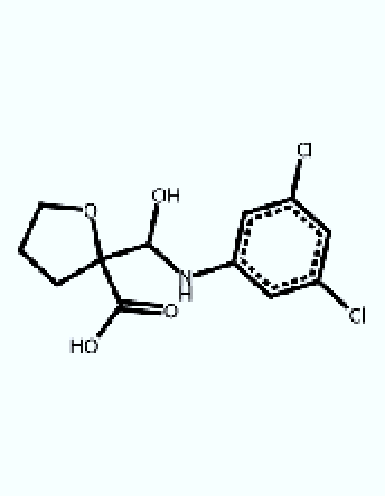 O=C(O)C1(C(O)Nc2cc(Cl)cc(Cl)c2)CCCO1